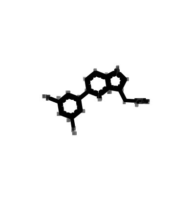 CC(=O)NCc1coc2ccc(-c3cc(F)cc(F)c3)nc12